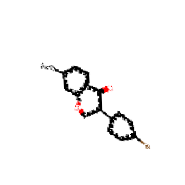 CC(=O)Oc1ccc2c(=O)c(-c3ccc(Br)cc3)coc2c1